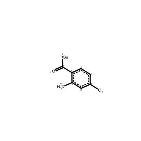 CC(C)(C)C(=O)c1ccc(Cl)cc1N